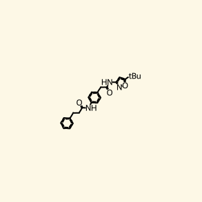 CC(C)(C)c1cc(NC(=O)Cc2ccc(NC(=O)CCc3ccccc3)cc2)no1